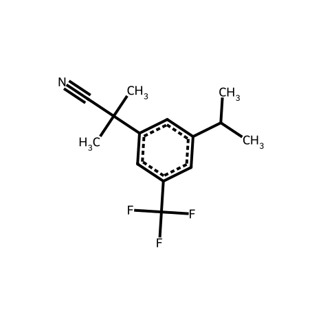 CC(C)c1cc(C(F)(F)F)cc(C(C)(C)C#N)c1